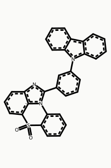 O=S1(=O)c2ccccc2-n2c(-c3cccc(-n4c5ccccc5c5ccccc54)c3)nc3cccc1c32